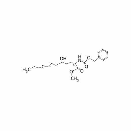 CCCCCCCC(O)CC[C@H](NC(=O)OCc1ccccc1)C(=O)OC